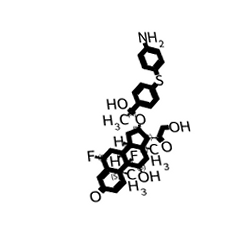 C[C@]12C[C@H](O)[C@@]3(F)[C@@H](C[C@H](F)C4=CC(=O)C=C[C@@]43C)[C@@H]1C[C@@H](O[C@@](C)(O)c1ccc(Sc3ccc(N)cc3)cc1)[C@@H]2C(=O)CO